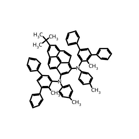 Cc1ccc(N(c2cc(-c3ccccc3)cc(-c3ccccc3)c2C)c2cc(N(c3ccc(C)cc3)c3cc(-c4ccccc4)cc(-c4ccccc4)c3C)c3ccc4cc(C(C)(C)C)cc5ccc2c3c54)cc1